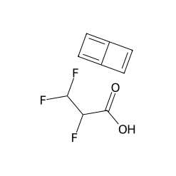 O=C(O)C(F)C(F)F.c1cc2ccc1-2